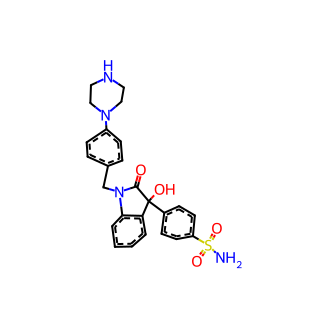 NS(=O)(=O)c1ccc(C2(O)C(=O)N(Cc3ccc(N4CCNCC4)cc3)c3ccccc32)cc1